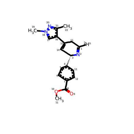 [2H]C1=N[C@H](c2ccc(C(=O)OC)cc2)C=C(c2cn(C)nc2C)C1